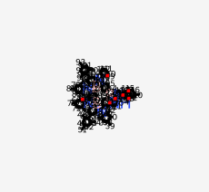 Cc1cc(C)c(-c2cc3c4c(c2)N(c2ccccc2)c2ccccc2B4c2cc4c(cc2N3)N(c2c(C)cc(C)cc2C)c2cc(-c3c(C)cc(C)cc3C)cc3c2B4c2cc4c(cc2N3c2c(C)cc(C)cc2C)N(c2c(C)cc(C)cc2C)c2cc(-c3c(C)cc(C)cc3C)cc3c2B4c2ccccc2N3c2ccccc2)c(C)c1